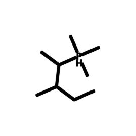 CCC(C)C(C)[PH](C)(C)C